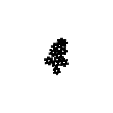 C1=C(c2ccccc2)C=C(c2ccccc2)CC1N(c1ccccc1)c1ccc(C2(c3ccccc3)c3ccccc3C3(c4ccccc4)c4ccccc4-c4cccc2c43)cc1